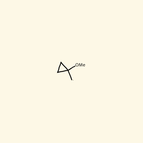 [CH2]C1(OC)CC1